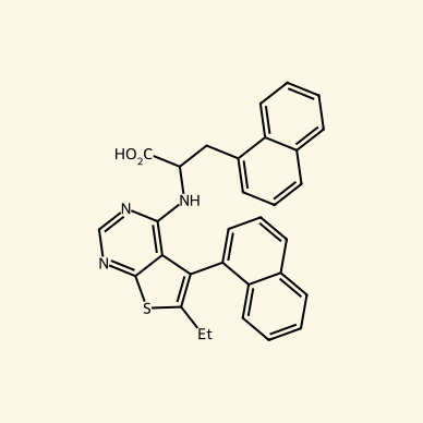 CCc1sc2ncnc(NC(Cc3cccc4ccccc34)C(=O)O)c2c1-c1cccc2ccccc12